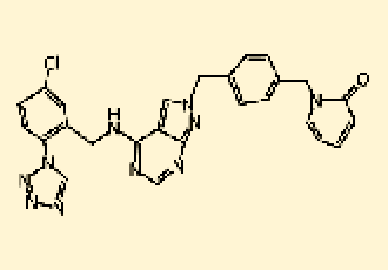 O=c1ccccn1Cc1ccc(Cn2cc3c(NCc4cc(Cl)ccc4-n4cnnn4)ncnc3n2)cc1